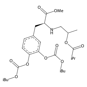 CCC(C)OC(=O)Oc1ccc(C[C@H](NCC(C)OC(=O)C(C)C)C(=O)OC)cc1OC(=O)OC(C)CC